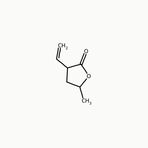 C=CC1CC(C)OC1=O